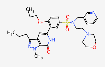 CCCOc1ccc(S(=O)(=O)N(CCN2CCOCC2)Cc2cccnc2)cc1-c1cc2c(CCC)nn(C)c2c(=O)[nH]1